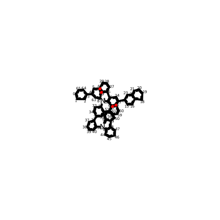 c1ccc(-c2cccc(N(c3ccc(-c4ccc5ccccc5c4)cc3-c3ccccc3)c3ccc(-c4ccccc4-n4c5ccccc5c5ccccc54)cc3-c3ccccc3)c2)cc1